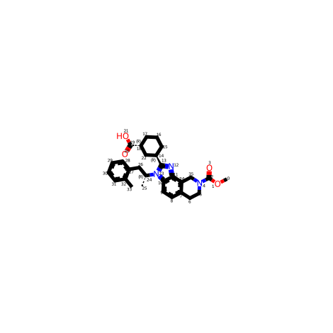 COC(=O)N1CCc2ccc3c(nc([C@@H]4CCC[C@@H](C(=O)O)C4)n3[C@H](C)Cc3ccccc3C)c2C1